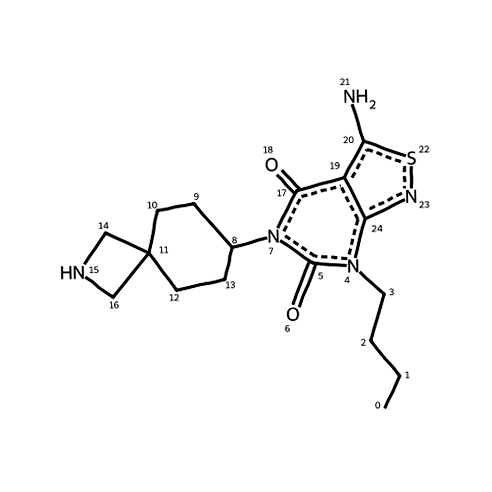 CCCCn1c(=O)n(C2CCC3(CC2)CNC3)c(=O)c2c(N)snc21